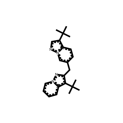 CC(C)(C)c1cnn2cc(Cc3nn4ccccc4c3C(C)(C)C)ccc12